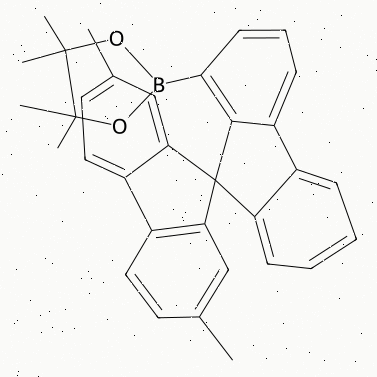 Cc1ccc2c(c1)C1(c3cc(C)ccc3-2)c2ccccc2-c2cccc(B3OC(C)(C)C(C)(C)O3)c21